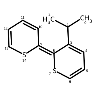 CC(C)C1=CC=CSC1=C1C=CC=CS1